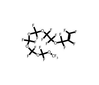 FC(F)=C(F)C(F)(F)OC(F)(F)C(F)(F)OC(F)(F)OC(F)(F)OC(F)(F)OC(F)(F)OC(F)(F)F